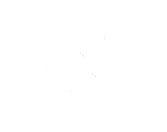 CC(C)c1nc(Cl)c(Cl)[nH]1